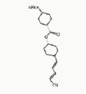 CCCCCC[C@H]1CC[C@H](C(=O)O[C@H]2CC[C@H](C=CC=CC#N)CC2)CC1